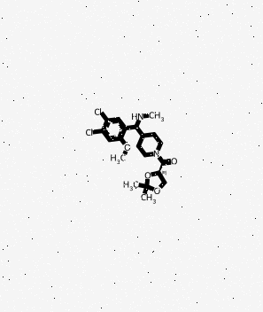 CNC(c1cc(Cl)c(Cl)cc1OC)C1CCN(C(=O)[C@H]2COC(C)(C)O2)CC1